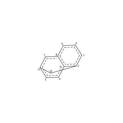 c1cc2c3ccc(cc3c1)C2